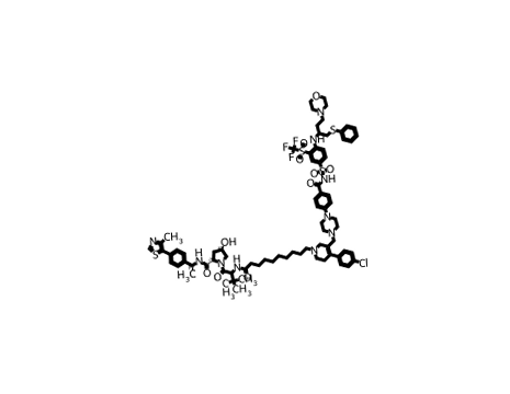 Cc1ncsc1-c1ccc([C@@H](C)NC(=O)[C@@H]2C[C@@H](O)CN2C(=O)C(NC(=O)CCCCCCCCCN2CCC(c3ccc(Cl)cc3)=C(CN3CCN(c4ccc(C(=O)NS(=O)(=O)c5ccc(NC(CCN6CCOCC6)CSc6ccccc6)c(S(=O)(=O)C(F)(F)F)c5)cc4)CC3)C2)C(C)(C)C)cc1